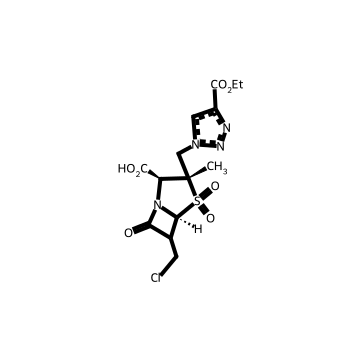 CCOC(=O)c1cn(C[C@@]2(C)[C@H](C(=O)O)N3C(=O)C(CCl)[C@@H]3S2(=O)=O)nn1